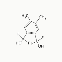 Cc1cc(C(O)(F)F)c(C(O)(F)F)cc1C